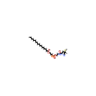 CCCCCCCCCCCCCCCCCC(=O)OCCCO[PH](=O)OCCNC(=O)CCC(C)(C#N)SC